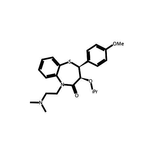 COc1ccc([C@@H]2Sc3ccccc3N(CCN(C)C)C(=O)[C@@H]2OC(C)C)cc1